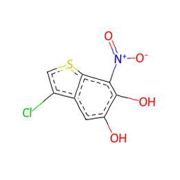 O=[N+]([O-])c1c(O)c(O)cc2c(Cl)csc12